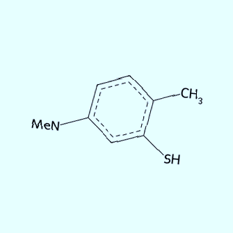 CNc1ccc(C)c(S)c1